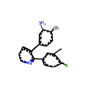 CCCc1ccc(-c2cccnc2-c2ccc(F)c(C)c2)cc1N